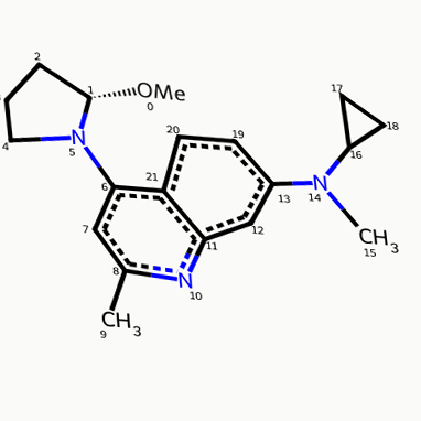 CO[C@H]1CCCN1c1cc(C)nc2cc(N(C)C3CC3)ccc12